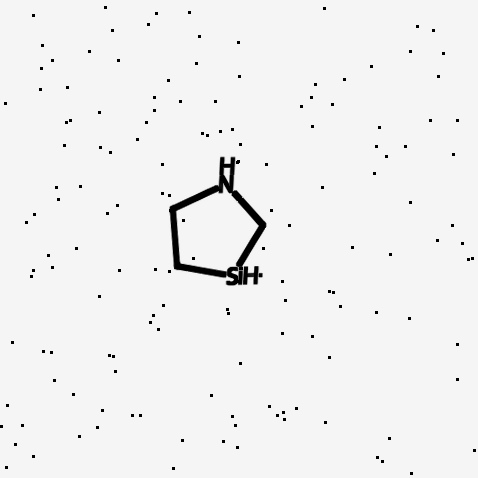 C1C[SiH]CN1